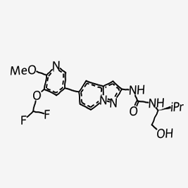 COc1ncc(-c2ccn3nc(NC(=O)N[C@H](CO)C(C)C)cc3c2)cc1OC(F)F